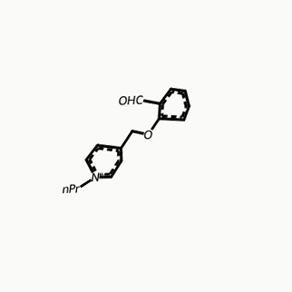 CCC[n+]1ccc(COc2ccccc2C=O)cc1